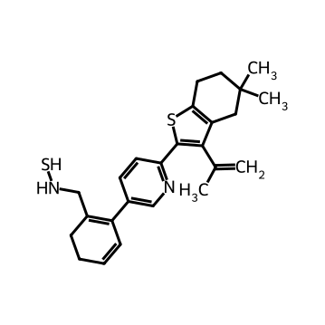 C=C(C)c1c(-c2ccc(C3=C(CNS)CCC=C3)cn2)sc2c1CC(C)(C)CC2